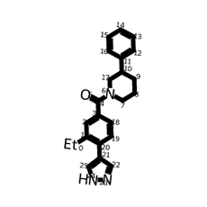 CCc1cc(C(=O)N2CCCC(c3ccccc3)C2)ccc1-c1cn[nH]c1